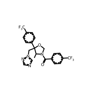 CC1N(C(=O)c2ccc(C(F)(F)F)cc2)COC1(Cn1cncn1)c1ccc(C(F)(F)F)cc1